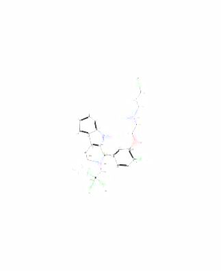 C[C@@H]1Cc2c([nH]c3ccccc23)C(c2ccc(F)c(OCCNCCCF)c2)N1CC(F)(F)F